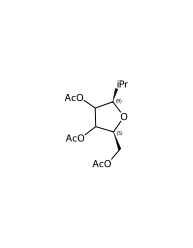 CC(=O)OC[C@@H]1O[C@H](C(C)C)C(OC(C)=O)C1OC(C)=O